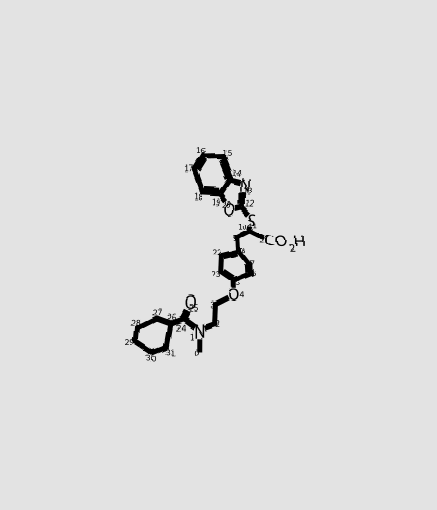 CN(CCOc1ccc(CC(Sc2nc3ccccc3o2)C(=O)O)cc1)C(=O)C1CCCCC1